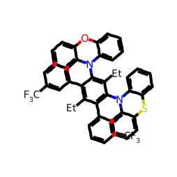 CCc1c(-c2cccc(C(F)(F)F)c2)c(N2c3ccccc3Oc3ccccc32)c(CC)c(N2c3ccccc3Sc3ccccc32)c1-c1cccc(C(F)(F)F)c1